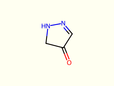 O=C1C=NNC1